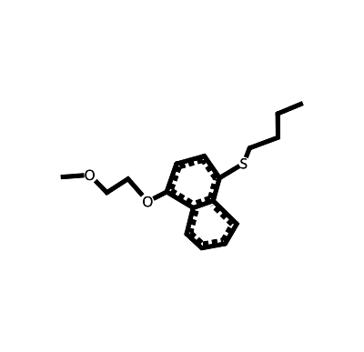 CCCCSc1ccc(OCCOC)c2ccccc12